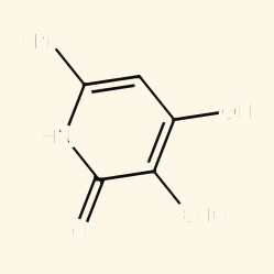 CCCc1cc(O)c(C=O)c(=O)[nH]1